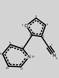 N#Cc1ccoc1-c1ccccn1